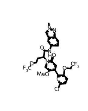 COc1cn(C(CCOC(F)(F)F)C(=O)Nc2ccc3nn(C)cc3c2)c(=O)cc1-c1cc(Cl)ccc1OCC(F)(F)F